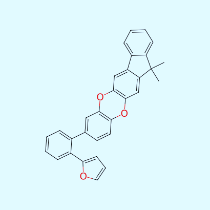 CC1(C)c2ccccc2-c2cc3c(cc21)Oc1ccc(-c2ccccc2-c2ccco2)cc1O3